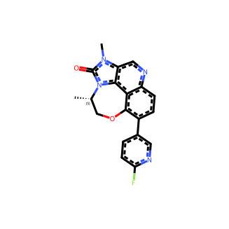 C[C@H]1COc2c(-c3ccc(F)nc3)ccc3ncc4c(c23)n1c(=O)n4C